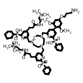 COc1cc(OCCCN)cc(OC)c1-c1cc(CN2CCN(Cc3cc(CCC(=O)NCC[N+](C)(C)C)cc(P(=O)([O-])c4ccccc4)n3)CCN(Cc3cc(CCC(=O)NCCN(C)C)cc(P(=O)(O)c4ccccc4)n3)CC2)nc(P(=O)(O)c2ccccc2)c1